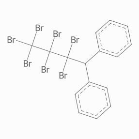 BrC(Br)(Br)C(Br)(Br)C(Br)(Br)C(c1ccccc1)c1ccccc1